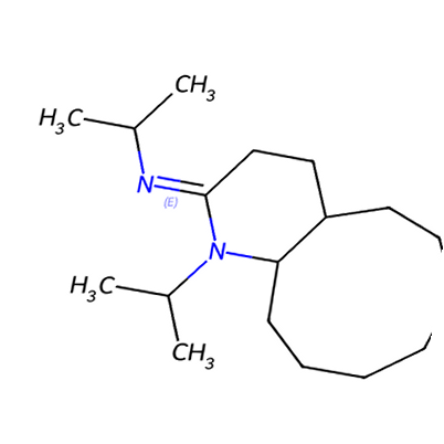 CC(C)/N=C1\CCC2CCCCCCCC2N1C(C)C